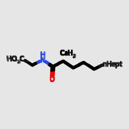 CCCCCCCCCCCC(=O)NCC(=O)O.[CaH2]